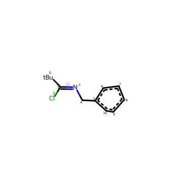 CC(C)(C)/C(Cl)=N/Cc1ccccc1